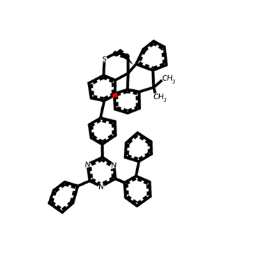 CC1(C)c2ccccc2C2(c3ccccc3Sc3ccc(-c4ccc(-c5nc(-c6ccccc6)nc(-c6ccccc6-c6ccccc6)n5)cc4)cc32)c2ccccc21